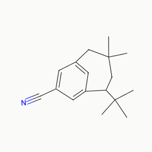 CC1(C)Cc2cc(C#N)cc(c2)C(C(C)(C)C)C1